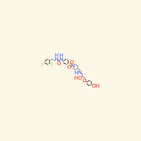 O=C(NCCc1ccc(F)cc1F)Nc1ccc(S(=O)(=O)N2CCC(CNCC(O)COc3ccc(O)cc3)CC2)cc1